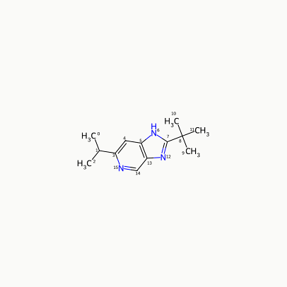 CC(C)c1cc2[nH]c(C(C)(C)C)nc2cn1